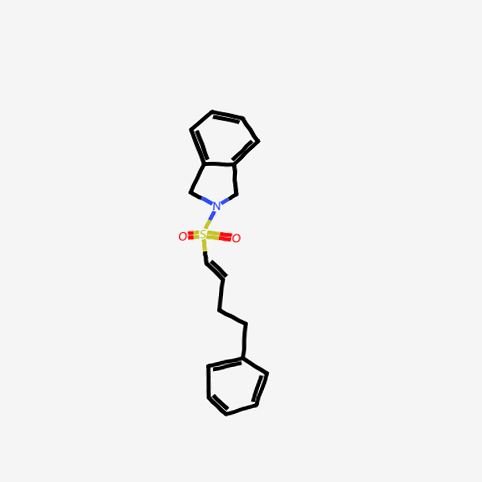 O=S(=O)(C=CCCc1ccccc1)N1Cc2ccccc2C1